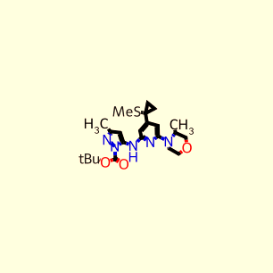 CSC1(c2cc(Nc3cc(C)nn3C(=O)OC(C)(C)C)nc(N3CCOCC3C)c2)CC1